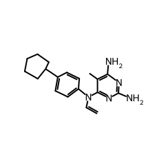 C=CN(c1ccc(C2CCCCC2)cc1)c1nc(N)nc(N)c1C